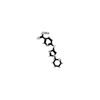 COC(=O)c1ccc(Sc2cn(C3CCCCO3)cn2)nc1